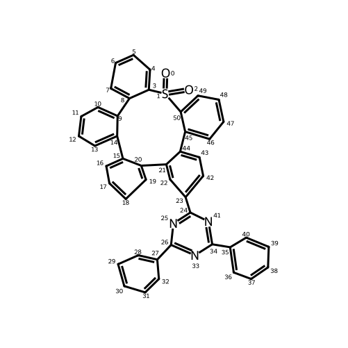 O=S1(=O)c2ccccc2-c2ccccc2-c2ccccc2-c2cc(-c3nc(-c4ccccc4)nc(-c4ccccc4)n3)ccc2-c2ccccc21